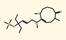 CCC(/C=C/C[C@H](C)/C1=C/CC(C)C(=O)CCC[C@@H]1C)(CC)O[Si](C)(C)C